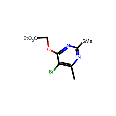 CCOC(=O)COc1nc(SC)nc(C)c1Br